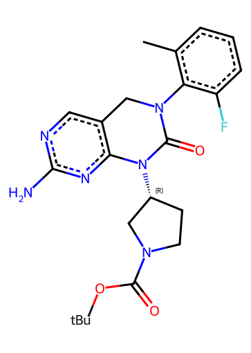 Cc1cccc(F)c1N1Cc2cnc(N)nc2N([C@@H]2CCN(C(=O)OC(C)(C)C)C2)C1=O